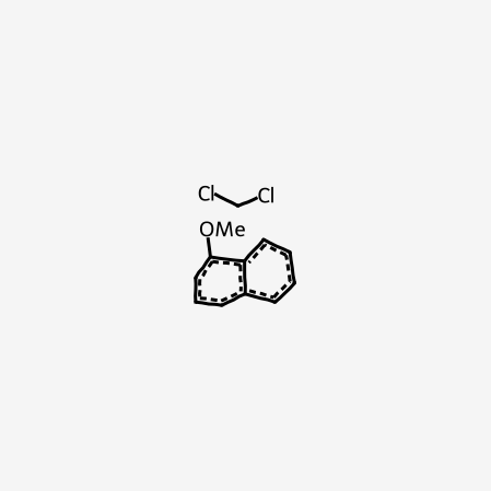 COc1cccc2ccccc12.ClCCl